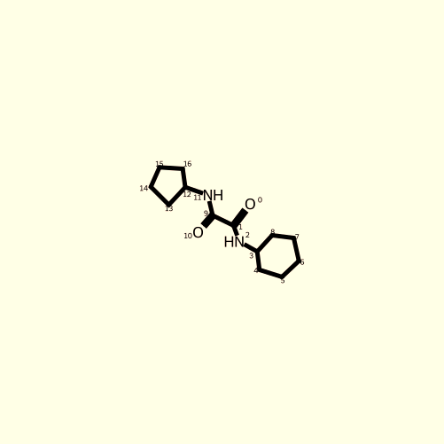 O=C(NC1CCCCC1)C(=O)NC1CCCC1